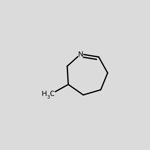 CC1CCCC=NC1